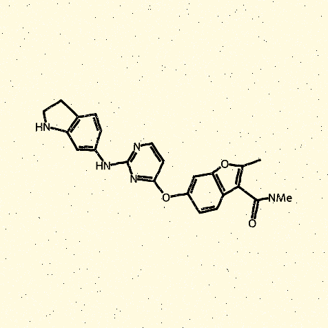 CNC(=O)c1c(C)oc2cc(Oc3ccnc(Nc4ccc5c(c4)NCC5)n3)ccc12